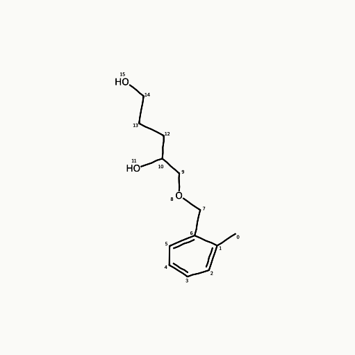 Cc1ccccc1COCC(O)CCCO